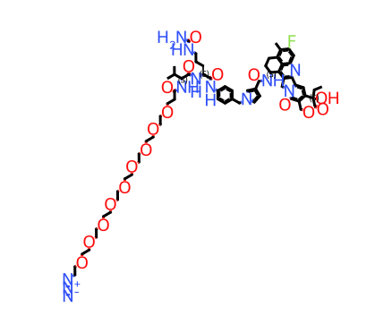 CC[C@@]1(O)C(=O)OCc2c1cc1n(c2=O)Cc2c-1nc1cc(F)c(C)c3c1c2[C@@H](NC(=O)c1ccn(Cc2ccc(NC(=O)[C@H](CCCNC(N)=O)NC(=O)[C@@H](NC(=O)CCOCCOCCOCCOCCOCCOCCOCCOCCOCCN=[N+]=[N-])C(C)C)cc2)c1)CC3